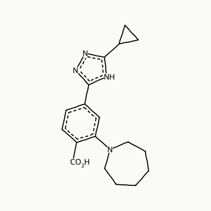 O=C(O)c1ccc(-c2nnc(C3CC3)[nH]2)cc1N1CCCCCC1